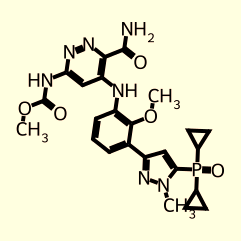 COC(=O)Nc1cc(Nc2cccc(-c3cc(P(=O)(C4CC4)C4CC4)n(C)n3)c2OC)c(C(N)=O)nn1